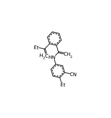 C=C(CC)c1ccccc1C(=C)Nc1ccc(CC)c(C#N)c1